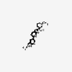 CN1CCCC(O)(c2cc3ccc(-c4cnc5nn(C)cc5c4)nc3s2)C1